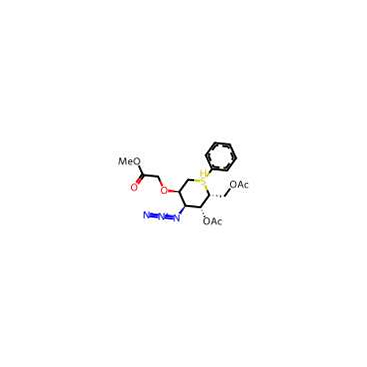 COC(=O)CO[C@H]1C[SH](c2ccccc2)[C@H](COC(C)=O)[C@H](OC(C)=O)[C@H]1N=[N+]=[N-]